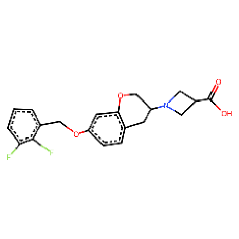 O=C(O)C1CN(C2COc3cc(OCc4cccc(F)c4F)ccc3C2)C1